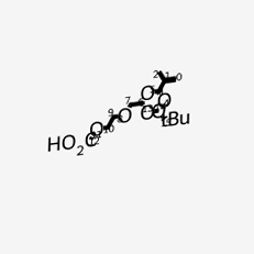 C=C(C)C(=O)OC(COCCOC(=O)O)OOC(C)(C)C